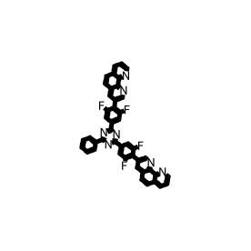 Fc1cc(-c2nc(-c3ccccc3)nc(-c3cc(F)c(-c4cnc5c(ccc6cccnc65)c4)c(F)c3)n2)cc(F)c1-c1cnc2c(ccc3cccnc32)c1